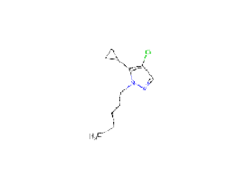 CCCCCn1n[c]c(Cl)c1C1CC1